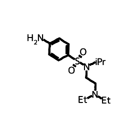 CCN(CC)CCN(C(C)C)S(=O)(=O)c1ccc(N)cc1